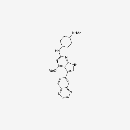 COc1nc(NC2CCC(NC(C)=O)CC2)nc2[nH]cc(-c3ccc4nccnc4c3)c12